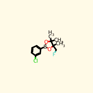 CC1(C)OB(c2cccc(Cl)c2)OC1(C)CF